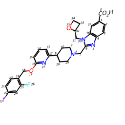 O=C(O)c1ccc2nc(CN3CCC(c4cccc(OCc5ccc(I)cc5F)n4)CC3)n(C[C@@H]3CCO3)c2c1